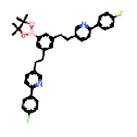 CC1(C)OB(c2cc(CCc3ccc(-c4ccc(F)cc4)nc3)cc(CCc3ccc(-c4ccc(F)cc4)nc3)c2)OC1(C)C